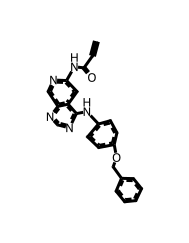 C#CC(=O)Nc1cc2c(Nc3ccc(OCc4ccccc4)cc3)ncnc2cn1